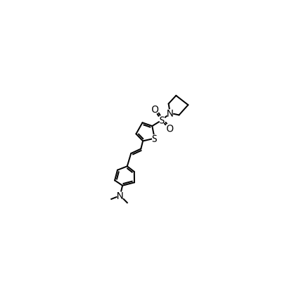 CN(C)c1ccc(/C=C/c2ccc(S(=O)(=O)N3CCCC3)s2)cc1